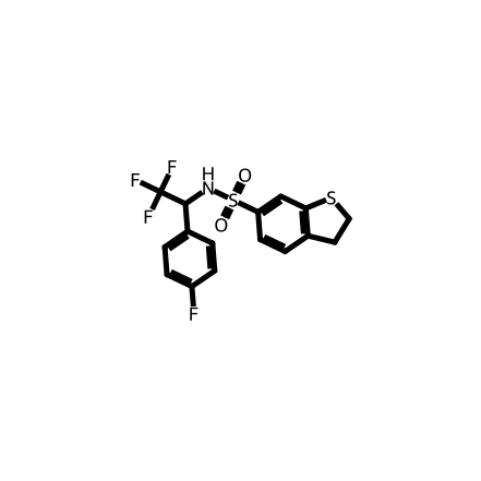 O=S(=O)(NC(c1ccc(F)cc1)C(F)(F)F)c1ccc2c(c1)SCC2